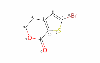 O=C1OCCc2cc(Br)sc21